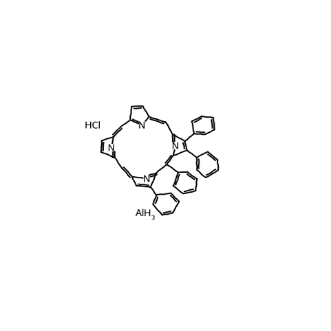 C1=CC2=NC1=CC1=NC(=C(c3ccccc3)C3=NC(=CC4=NC(=C2)C=C4)C=C3c2ccccc2)C(c2ccccc2)=C1c1ccccc1.Cl.[AlH3]